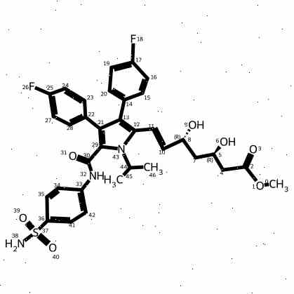 COC(=O)C[C@H](O)C[C@@H](O)C=Cc1c(-c2ccc(F)cc2)c(-c2ccc(F)cc2)c(C(=O)Nc2ccc(S(N)(=O)=O)cc2)n1C(C)C